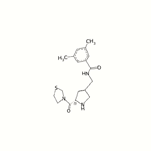 Cc1cc(C)cc(C(=O)NCC2CN[C@H](C(=O)N3CCSC3)C2)c1